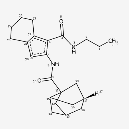 CCCNC(=O)c1c(NC(=O)C23CC4CC2C[C@@H](C4)C3)sc2c1CCCC2